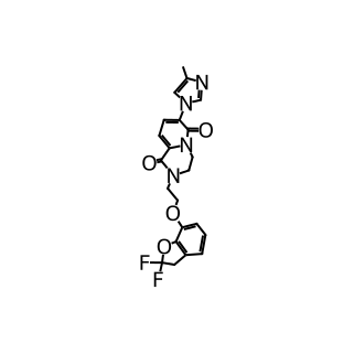 Cc1cn(-c2ccc3n(c2=O)CCN(CCOc2cccc4c2OC(F)(F)C4)C3=O)cn1